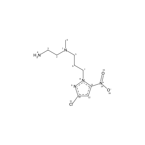 CN(CCN)CCCn1nc(Cl)cc1[N+](=O)[O-]